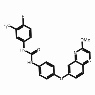 COc1cnc2ccc(Oc3ccc(NC(=O)Nc4ccc(F)c(C(F)(F)F)c4)cc3)cc2n1